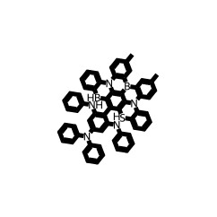 Cc1ccc2c(c1)B1c3cc(C)ccc3N3c4ccccc4Sc4c(-c5c(Nc6ccccc6)cc(N(c6ccccc6)c6ccccc6)cc5Nc5ccccc5)c5c(c1c43)N2c1ccccc1B5